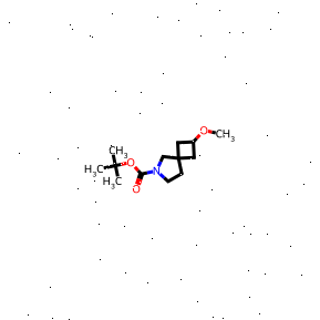 COC1CC2(CCN(C(=O)OC(C)(C)C)C2)C1